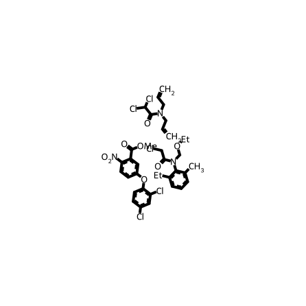 C=CCN(CC=C)C(=O)C(Cl)Cl.CCOCN(C(=O)CCl)c1c(C)cccc1CC.COC(=O)c1cc(Oc2ccc(Cl)cc2Cl)ccc1[N+](=O)[O-]